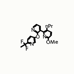 CCCc1ccc(OC)nc1-c1cccnc1Oc1ccc(C(C)(F)F)nc1